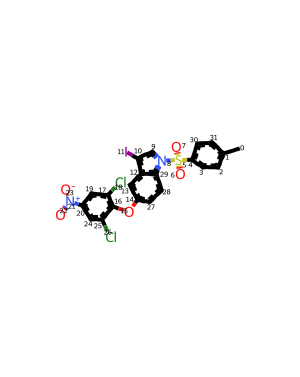 Cc1ccc(S(=O)(=O)n2cc(I)c3cc(Oc4c(Cl)cc([N+](=O)[O-])cc4Cl)ccc32)cc1